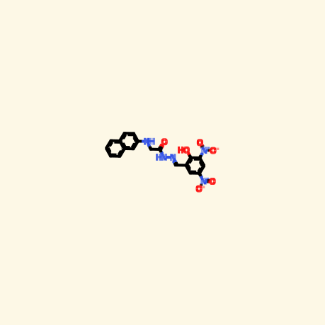 O=C(CNc1ccc2ccccc2c1)N/N=C/c1cc([N+](=O)[O-])cc([N+](=O)[O-])c1O